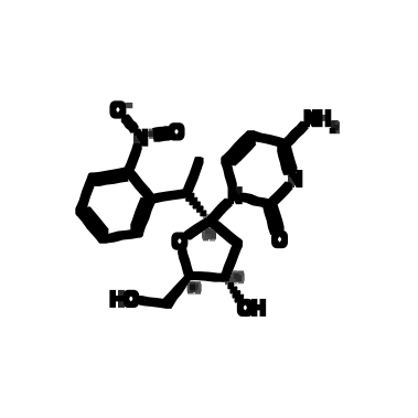 CC(c1ccccc1[N+](=O)[O-])[C@]1(n2ccc(N)nc2=O)C[C@H](O)[C@@H](CO)O1